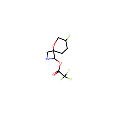 O=C(OC1NCC12CCC(F)CO2)C(F)(F)F